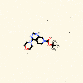 CC(C)(C)OC(=O)N1CCc2c(ncnc2N2CCOCC2)C1